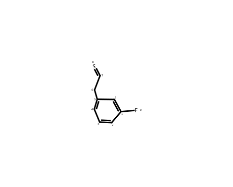 Fc1cccc(C[C]=S)c1